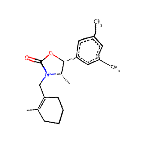 CC1=C(CN2C(=O)O[C@H](c3cc(C(F)(F)F)cc(C(F)(F)F)c3)[C@@H]2C)CCCC1